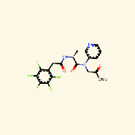 COC(=O)CN(C(=O)[C@H](C)NC(=O)Cc1c(F)c(F)c(F)c(F)c1F)c1cccnc1